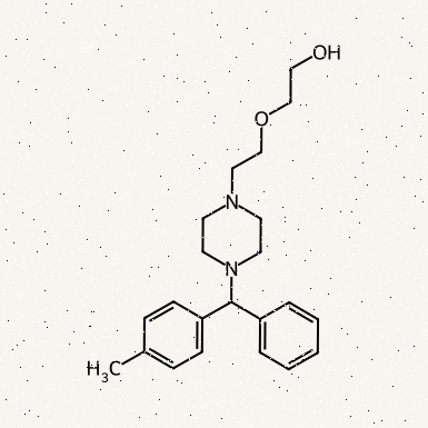 Cc1ccc(C(c2ccccc2)N2CCN(CCOCCO)CC2)cc1